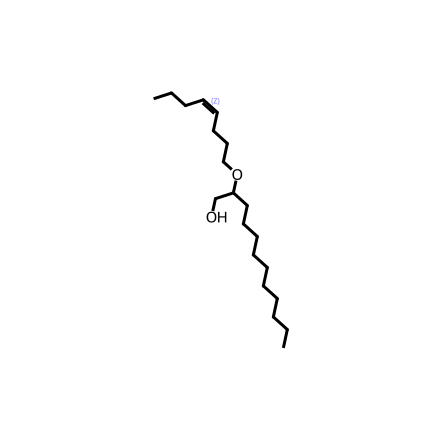 CCC/C=C\CCCOC(CO)CCCCCCCCCC